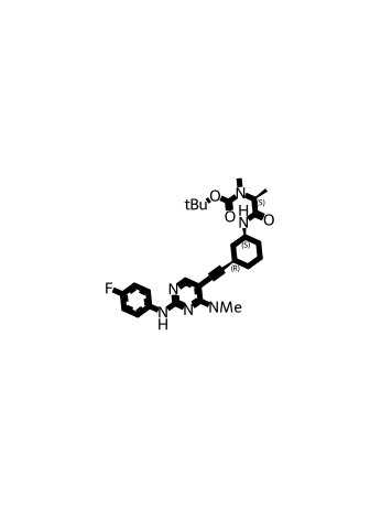 CNc1nc(Nc2ccc(F)cc2)ncc1C#C[C@@H]1CCC[C@H](NC(=O)[C@H](C)N(C)C(=O)OC(C)(C)C)C1